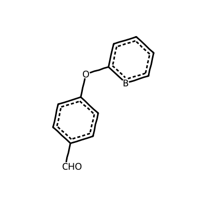 O=Cc1ccc(Oc2bcccc2)cc1